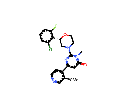 COc1cnccc1-c1cc(=O)n(C)c(N2CCO[C@@H](c3c(F)cccc3Cl)C2)n1